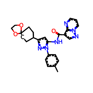 Cc1ccc(-n2nc(C3CCC4(CC3)OCCO4)cc2NC(=O)c2cnn3cccnc23)cc1